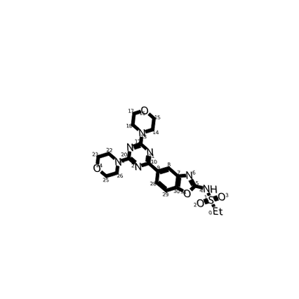 CCS(=O)(=O)Nc1nc2cc(-c3nc(N4CCOCC4)nc(N4CCOCC4)n3)ccc2o1